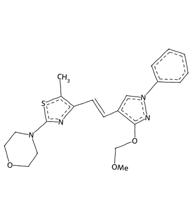 COCOc1nn(-c2ccccc2)cc1C=Cc1nc(N2CCOCC2)sc1C